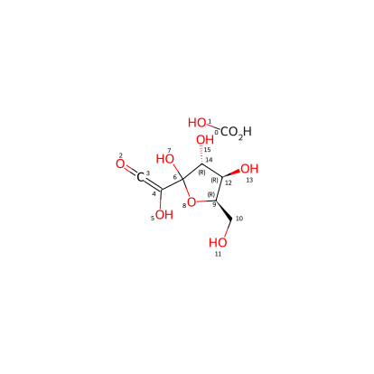 O=C(O)O.O=C=C(O)C1(O)O[C@H](CO)[C@H](O)[C@H]1O